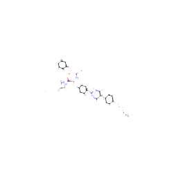 CC(C)CCCOc1ccc(-c2cnc(-c3ccc(CC(NC(=O)OCc4ccccc4)C(=O)N4CC(C(=O)O)C4)cc3)nc2)cc1